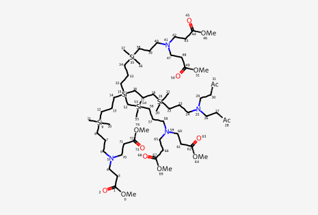 COC(=O)CCN(CCC[Si](C)(C)CCC[Si](CCC[Si](C)(C)CCCN(CCC(C)=O)CCC(C)=O)(CCC[Si](C)(C)CCCN(CCC(=O)OC)CCC(=O)OC)C[Si](C)(C)CCCN(CCC(=O)OC)CCC(=O)OC)CCC(=O)OC